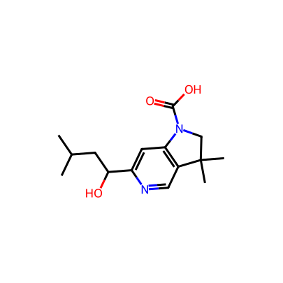 CC(C)CC(O)c1cc2c(cn1)C(C)(C)CN2C(=O)O